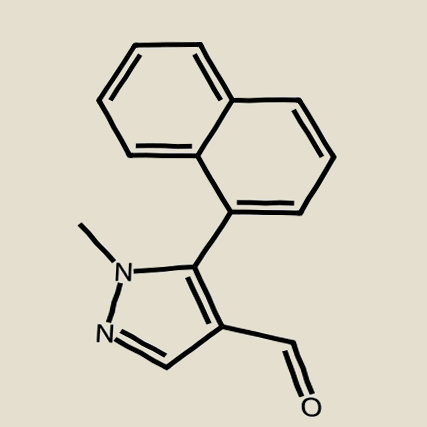 Cn1ncc(C=O)c1-c1cccc2ccccc12